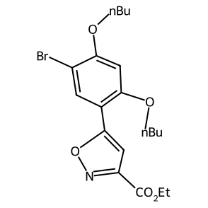 CCCCOc1cc(OCCCC)c(-c2cc(C(=O)OCC)no2)cc1Br